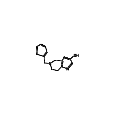 Oc1cnc2c(c1)CN(Cc1ccccc1)CC2